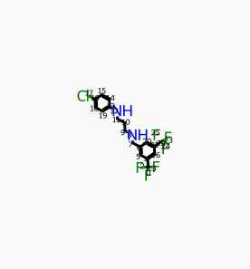 FC(F)(F)c1cc(CNCCCNc2ccc(Cl)cc2)cc(C(F)(F)F)c1